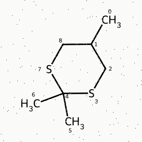 CC1CSC(C)(C)SC1